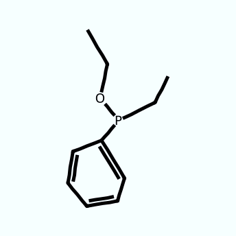 CCOP(CC)c1ccccc1